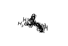 CCNC(=O)c1cc(N2CCOC[C@@H]2C)nc(-c2ccc(NC(=O)NC3CC3)cc2)n1